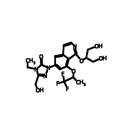 CCn1c(CO)nn(-c2cc(OC(C)C(F)(F)F)c3c(OC(CO)CO)nccc3c2)c1=O